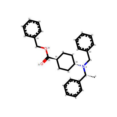 C[C@H](c1ccccc1)N(Cc1ccccc1)[C@H]1CC[C@H](C(=O)OCc2ccccc2)CC1